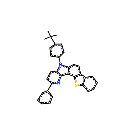 CC(C)(C)c1ccc(-n2c3ccc(-c4ccccc4)nc3c3c4sc5ccccc5c4ccc32)cc1